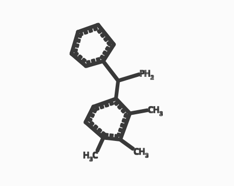 Cc1ccc(C(P)c2ccccc2)c(C)c1C